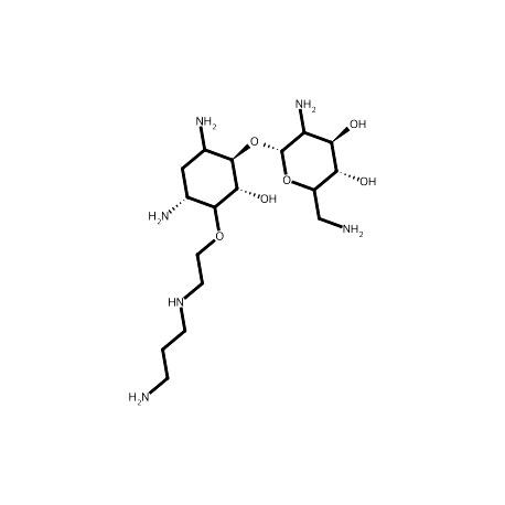 NCCCNCCOC1[C@H](N)CC(N)[C@@H](O[C@H]2OC(CN)[C@@H](O)[C@H](O)C2N)[C@@H]1O